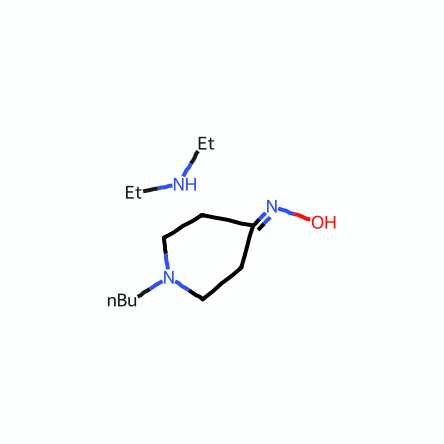 CCCCN1CCC(=NO)CC1.CCNCC